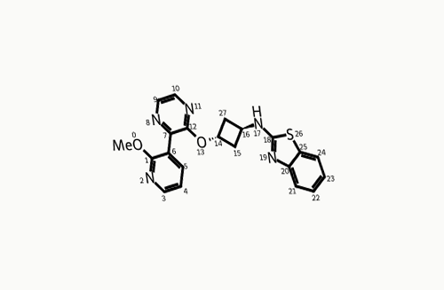 COc1ncccc1-c1nccnc1O[C@H]1C[C@H](Nc2nc3ccccc3s2)C1